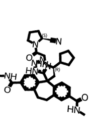 CNC(=O)c1ccc2c(c1)CCc1cc(C(=O)NC)ccc1C2(C[C@@H](NCC(=O)N1CCC[C@H]1C#N)C1CCCC1)c1nnn[nH]1